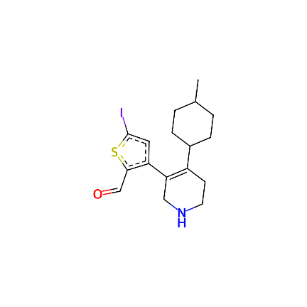 CC1CCC(C2=C(c3cc(I)sc3C=O)CNCC2)CC1